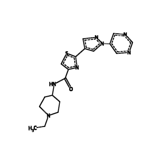 CCN1CCC(NC(=O)c2csc(-c3cnn(-c4cncnc4)c3)n2)CC1